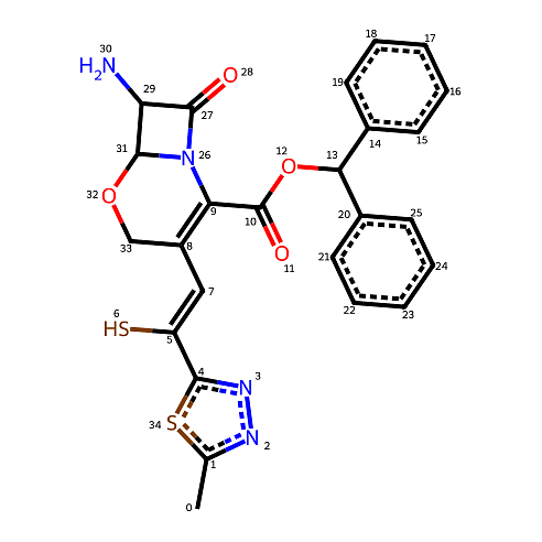 Cc1nnc(C(S)=CC2=C(C(=O)OC(c3ccccc3)c3ccccc3)N3C(=O)C(N)C3OC2)s1